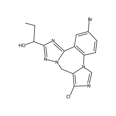 CCC(O)c1nc2n(n1)Cc1c(Cl)ncn1-c1ccc(Br)cc1-2